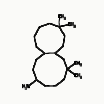 CC1(C)CCCCC2CCC(N)CCCC(C)(C)CC2CC1